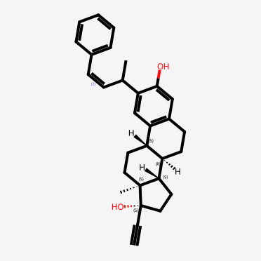 C#C[C@]1(O)CC[C@H]2[C@@H]3CCc4cc(O)c(C(C)/C=C\c5ccccc5)cc4[C@H]3CC[C@@]21C